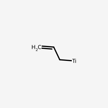 C=C[CH2][Ti]